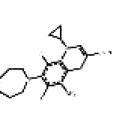 Nc1c(F)c(N2CCCCCC2)c(F)c2c1CC(C(=O)O)=CN2C1CC1